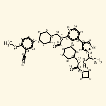 COc1ccc([C@H]2CC[C@H](CN(c3cc(-c4cnn(C(C)C)c4)ccn3)C(=O)[C@H]3CC[C@H](OC(=O)N4CCC4)CC3)CC2)cc1C#N